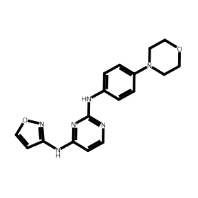 c1cc(Nc2ccon2)nc(Nc2ccc(N3CCOCC3)cc2)n1